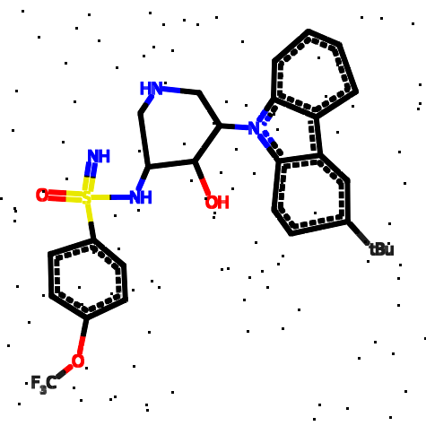 CC(C)(C)c1ccc2c(c1)c1ccccc1n2C1CNCC(NS(=N)(=O)c2ccc(OC(F)(F)F)cc2)C1O